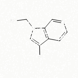 N#CCn1cc(Br)c2ccncc21